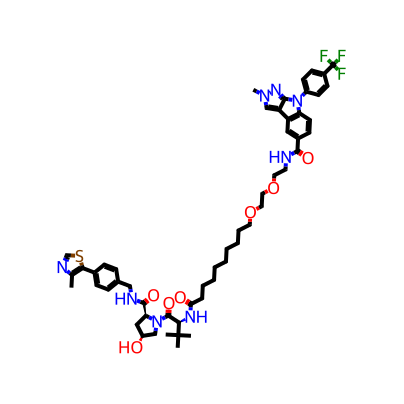 Cc1ncsc1-c1ccc(CNC(=O)[C@@H]2C[C@H](O)CN2C(=O)[C@@H](NC(=O)CCCCCCCCCOCCOCCNC(=O)c2ccc3c(c2)c2cn(C)nc2n3-c2ccc(C(F)(F)F)cc2)C(C)(C)C)cc1